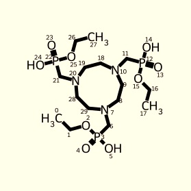 CCOP(=O)(O)CN1CCN(CP(=O)(O)OCC)CCN(CP(=O)(O)OCC)CC1